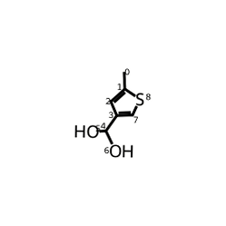 Cc1cc(C(O)O)cs1